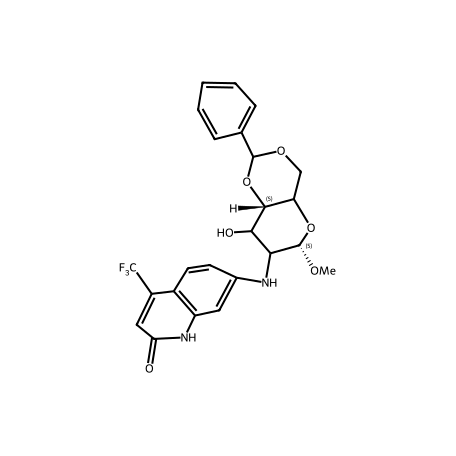 CO[C@H]1OC2COC(c3ccccc3)O[C@H]2C(O)C1Nc1ccc2c(C(F)(F)F)cc(=O)[nH]c2c1